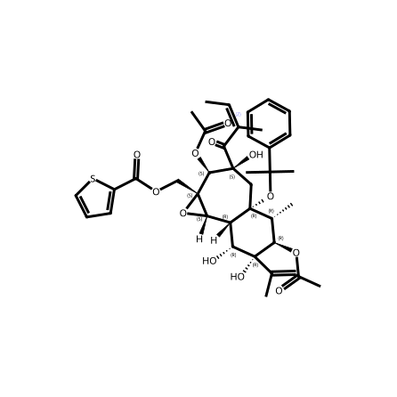 C=C(C)[C@@]1(O)[C@H](O)[C@@H]2[C@@H]3O[C@]3(COC(=O)c3cccs3)[C@@H](OC(C)=O)[C@](O)(C(=O)/C(C)=C\C)C[C@@]2(OC(C)(C)c2ccccc2)[C@H](C)[C@H]1OC(C)=O